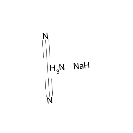 N.N#CC#N.[NaH]